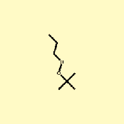 C[CH]COOC(C)(C)C